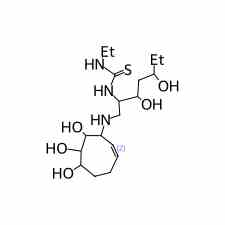 CCNC(=S)NC(CNC1/C=C\CCC(O)C(O)C1O)C(O)CC(O)CC